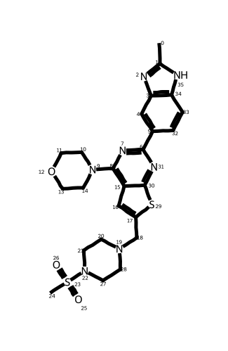 Cc1nc2cc(-c3nc(N4CCOCC4)c4cc(CN5CCN(S(C)(=O)=O)CC5)sc4n3)ccc2[nH]1